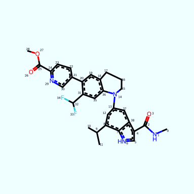 CNC(=O)c1c[nH]c2c(C(C)C)cc(N3CCCc4cc(-c5ccc(C(=O)OC)nc5)c(C(F)F)cc43)cc12